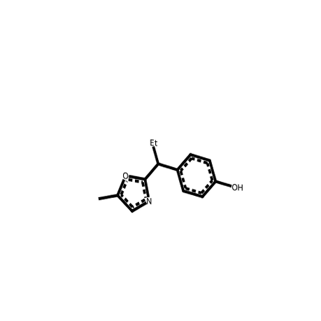 CCC(c1ccc(O)cc1)c1ncc(C)o1